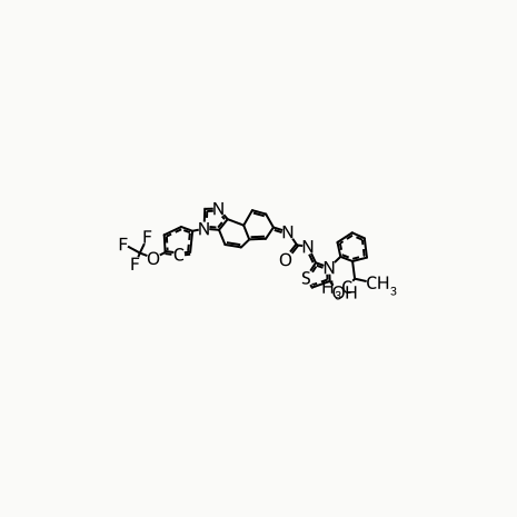 CC(C)c1ccccc1-n1c(O)cs/c1=N\C(=O)/N=C1/C=CC2C(=C1)C=Cc1c2ncn1-c1ccc(OC(F)(F)F)cc1